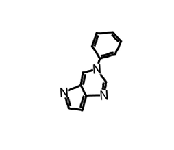 c1ccc(-n2cnc3ccnc-3c2)cc1